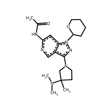 CC(=O)Nc1cc2c(cn1)c(N1CCC(C)(N(C)C)C1)nn2C1CCCCO1